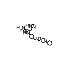 N=C(N)CC(Cc1ncc[nH]1)NC1CCC(CN2CCC3(CCN(C4CCCCC4)CC3)C2)CC1